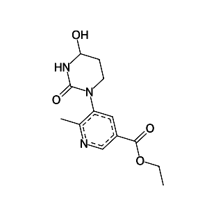 CCOC(=O)c1cnc(C)c(N2CCC(O)NC2=O)c1